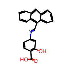 O=C(O)c1ccc(N=Cc2c3ccccc3cc3ccccc23)cc1O